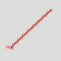 COCCOCCOCCOCCOCCOCCOCCOCCOCCOCCOCCOCCOCCOCCOCCOCCC(=O)O